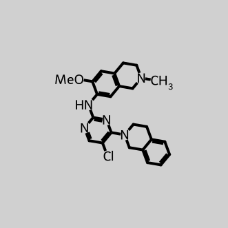 COc1cc2c(cc1Nc1ncc(Cl)c(N3CCc4ccccc4C3)n1)CN(C)CC2